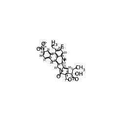 CC[C@@]1(O)C(=O)OCc2c1cc1n(c2=O)Cc2c-1nc1cc(F)c(C)cc1c2[CH]c1ccc([N+](=O)[O-])cc1